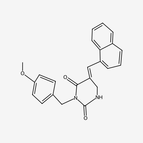 COc1ccc(CN2C(=O)NC/C(=C\c3cccc4ccccc34)C2=O)cc1